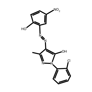 Cc1nn(-c2ccccc2Cl)c(O)c1/N=N/c1cc([N+](=O)[O-])ccc1O